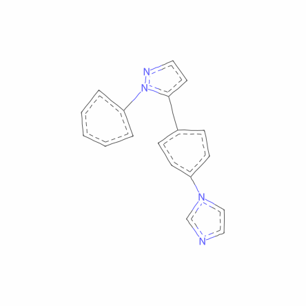 c1ccc(-n2nccc2-c2ccc(-n3ccnc3)cc2)cc1